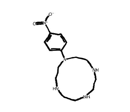 O=[N+]([O-])c1ccc(N2CCNCCNCCNCC2)cc1